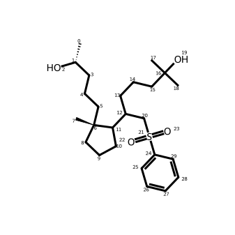 C[C@@H](O)CCC[C@@]1(C)CCCC1C(CCCC(C)(C)O)CS(=O)(=O)c1ccccc1